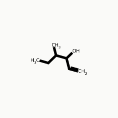 C=CC(O)C(C)CC